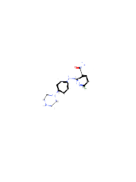 CN1CCN(c2ccc(Nc3nc(Cl)ccc3C(N)=O)cc2)CC1